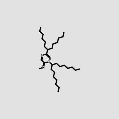 C\C=C(/N=C\C(=N/C)OC(CCCCCCC)CCCCCCC)C(CCCCCC)CCCCCC